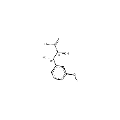 COc1cccc([C@H](S)[C@H](O)C(=O)Cl)c1